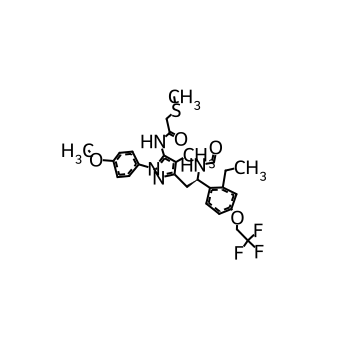 CCc1cc(OCC(F)(F)F)ccc1[C@@H](Cc1nn(-c2ccc(OC)cc2)c(NC(=O)CSC)c1C)NC=O